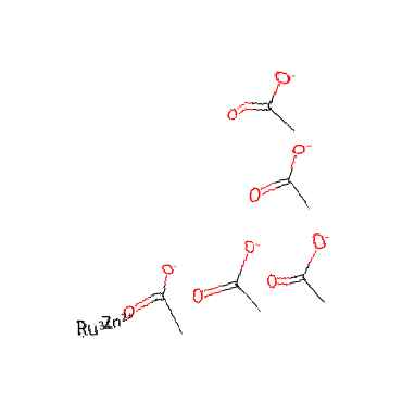 CC(=O)[O-].CC(=O)[O-].CC(=O)[O-].CC(=O)[O-].CC(=O)[O-].[Ru+3].[Zn+2]